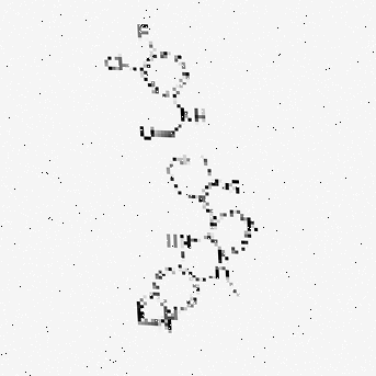 COc1cn2nccc2cc1Nc1ncnc2sc3c(c12)CC[C@H](C(=O)Nc1ccc(F)c(Cl)c1)C3